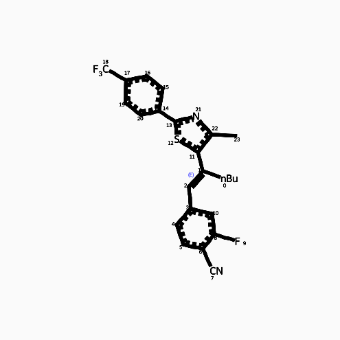 CCCC/C(=C\c1ccc(C#N)c(F)c1)c1sc(-c2ccc(C(F)(F)F)cc2)nc1C